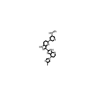 Cc1cn(-c2ccnc3[nH]c(-c4n[nH]c5ccc(-c6cncc(NC(C)C)c6)nc45)nc23)cn1